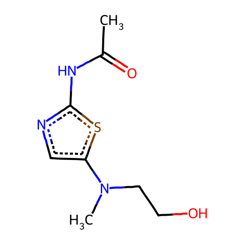 CC(=O)Nc1ncc(N(C)CCO)s1